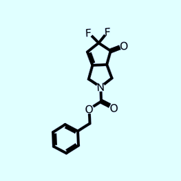 O=C(OCc1ccccc1)N1CC2=CC(F)(F)C(=O)C2C1